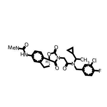 CNC(=O)Nc1ccc2c(c1)CC[C@@]21OC(=O)N(CC(=O)N(Cc2ccc(F)c(Cl)c2)C(C)C2CC2)C1=O